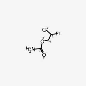 NC(=O)OCC(F)Cl